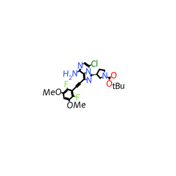 COc1cc(OC)c(F)c(C#Cc2nc([C@H]3CCN(C(=O)OC(C)(C)C)C3)n3c(Cl)cnc(N)c23)c1F